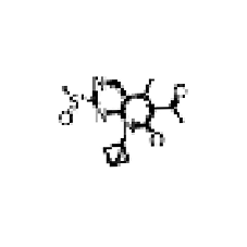 CC(=O)c1c(C)c2cnc([S+](C)[O-])nc2n(C23CC(C2)C3)c1=O